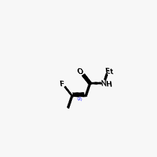 CCNC(=O)/C=C(/C)F